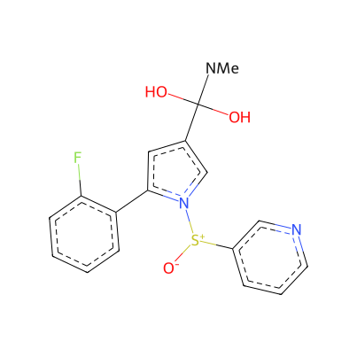 CNC(O)(O)c1cc(-c2ccccc2F)n([S+]([O-])c2cccnc2)c1